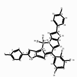 Cc1ccc(-c2cc3c(s2)=CC2=C(c4cc(F)cc(F)c4F)c4cc5sc(-c6ccc(C)cc6)cc5n4[B-](F)(F)[N+]=32)cc1